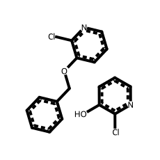 Clc1ncccc1OCc1ccccc1.Oc1cccnc1Cl